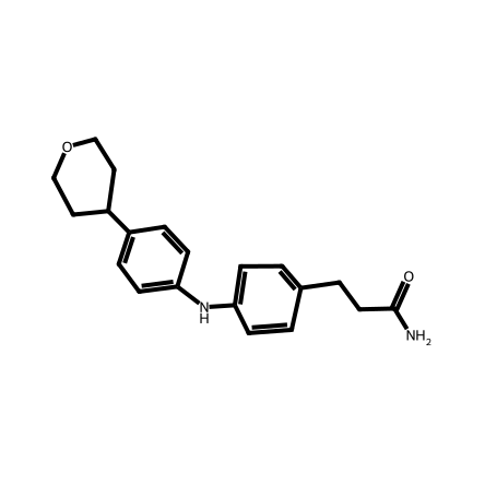 NC(=O)CCc1ccc(Nc2ccc(C3CCOCC3)cc2)cc1